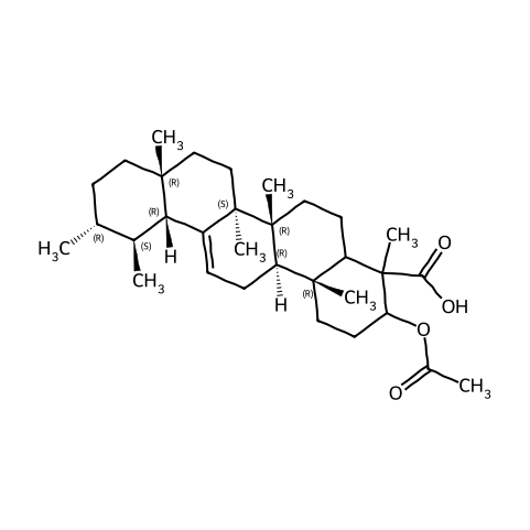 CC(=O)OC1CC[C@@]2(C)C(CC[C@]3(C)[C@@H]2CC=C2[C@@H]4[C@@H](C)[C@H](C)CC[C@]4(C)CC[C@]23C)C1(C)C(=O)O